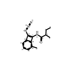 CCC(C)C(=O)NC1=C(N=[N+]=[N-])c2cccc(C)c21